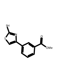 COC(=O)c1cccc(-c2csc(S)n2)c1